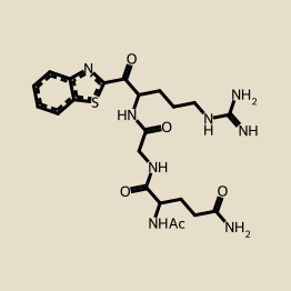 CC(=O)NC(CCC(N)=O)C(=O)NCC(=O)NC(CCCNC(=N)N)C(=O)c1nc2ccccc2s1